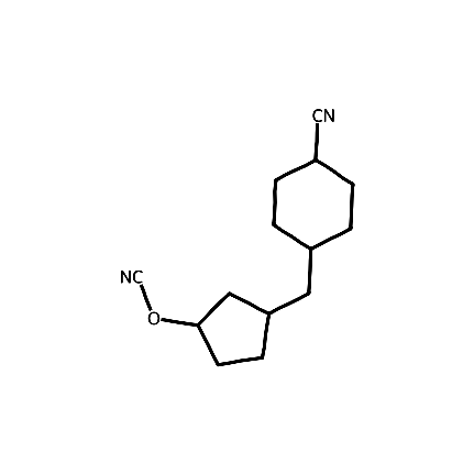 N#COC1CCC(CC2CCC(C#N)CC2)C1